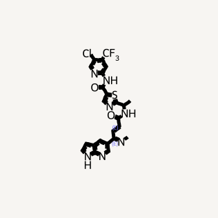 C/N=C(\C=C\C(=O)NC(C)c1ncc(C(=O)Nc2cc(C(F)(F)F)c(Cl)cn2)s1)c1cnc2[nH]ccc2c1